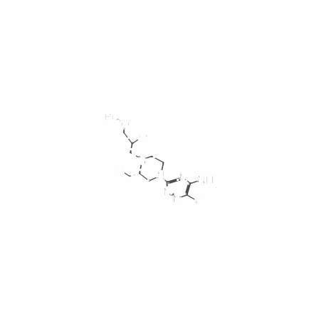 CC(C)(C)OCC(O)CN1CCN(c2nnc(Cl)c(N)n2)C[C@H]1CO